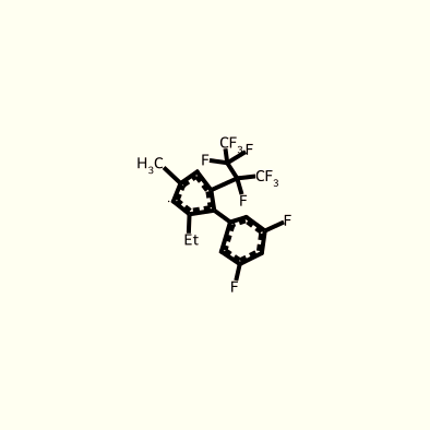 CCc1[c]c(C)cc(C(F)(C(F)(F)F)C(F)(F)C(F)(F)F)c1-c1cc(F)cc(F)c1